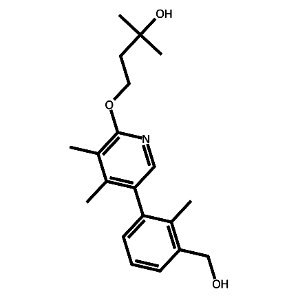 Cc1c(CO)cccc1-c1cnc(OCCC(C)(C)O)c(C)c1C